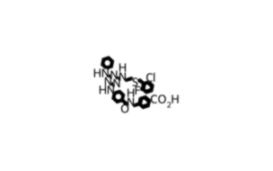 O=C(O)c1ccc(CNC(=O)C2CCC(Nc3nc(NCCSCc4c(F)cccc4Cl)nc(NC4CCCCC4)n3)CC2)cc1